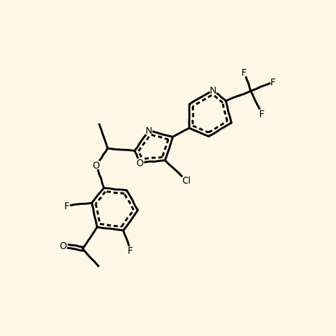 CC(=O)c1c(F)ccc(OC(C)c2nc(-c3ccc(C(F)(F)F)nc3)c(Cl)o2)c1F